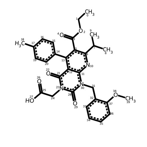 CCOC(=O)c1c(C(C)C)nc2c(c1-c1ccc(C)cc1)c(=O)n(CC(=O)O)c(=O)n2Cc1ccccc1OC